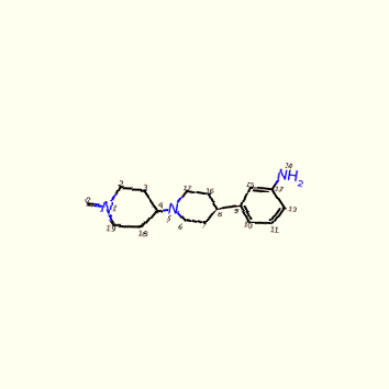 CN1CCC(N2CCC(c3cccc(N)c3)CC2)CC1